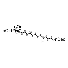 CCCCCCCCCCCCCCNCCCCCCCCOOC(CCCCCCCC)CCCCCCCC